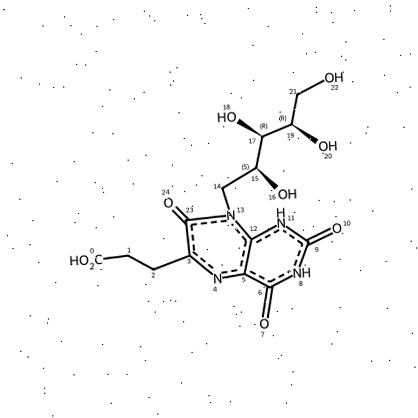 O=C(O)CCc1nc2c(=O)[nH]c(=O)[nH]c2n(C[C@H](O)[C@@H](O)[C@H](O)CO)c1=O